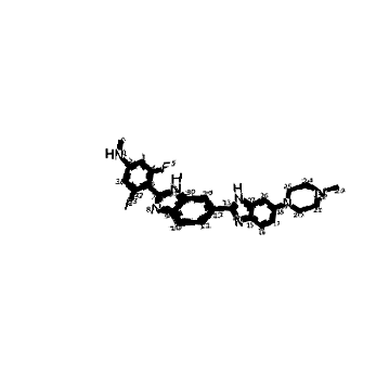 CNc1cc(F)c(-c2nc3ccc(-c4nc5ccc(N6CCN(C)CC6)cc5[nH]4)cc3[nH]2)c(F)c1